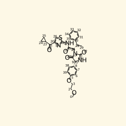 COCCOc1ccc([C@H]2NC(=O)N([C@H](C(=O)Nc3nc(C(=O)C4CC4)cs3)C(C)c3ccccc3)C2=O)cc1